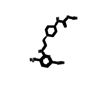 COc1ccc(N)c(NCC[C@H]2CC[C@H](NC(=O)OC(C)(C)C)CC2)n1